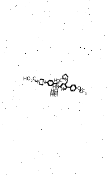 C[C@@H]1CCCN1Cc1cc(NC(=O)c2ccc(N3CCN(CC(=O)O)CC3)cc2)ncc1-c1ccc(OC(F)(F)F)cc1.Cl.Cl.Cl